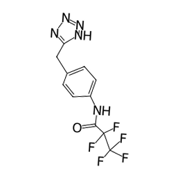 O=C(Nc1ccc(Cc2nnn[nH]2)cc1)C(F)(F)C(F)(F)F